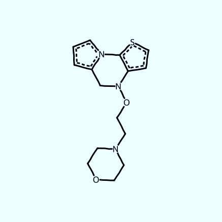 c1cc2n(c1)-c1sccc1N(OCCN1CCOCC1)C2